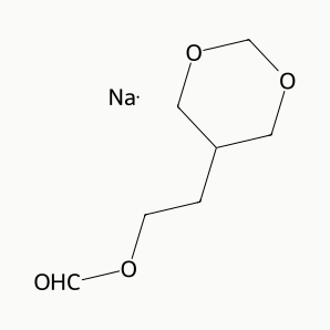 O=COCCC1COCOC1.[Na]